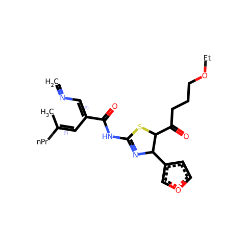 C=N/C=C(\C=C(/C)CCC)C(=O)NC1=NC(c2ccoc2)C(C(=O)CCCOCC)S1